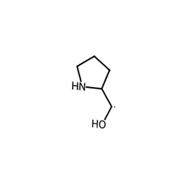 O[CH]C1CCCN1